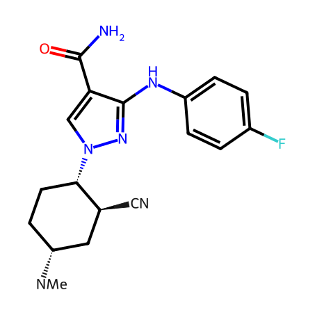 CN[C@@H]1CC[C@H](n2cc(C(N)=O)c(Nc3ccc(F)cc3)n2)[C@@H](C#N)C1